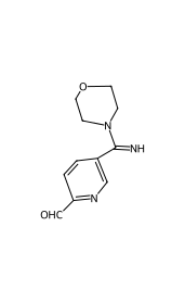 N=C(c1ccc(C=O)nc1)N1CCOCC1